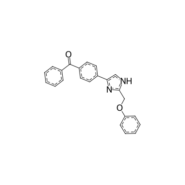 O=C(c1ccccc1)c1ccc(-c2c[nH]c(COc3ccccc3)n2)cc1